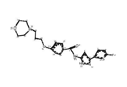 O=C(Nc1cc(-c2ccc(F)s2)n[nH]1)c1ccc(OCCCN2CCOCC2)cc1